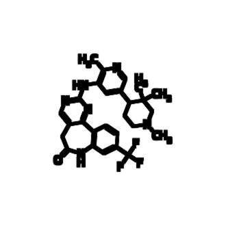 Cc1ncc(C2CCN(C)CC2(C)C)cc1Nc1ncc2c(n1)-c1ccc(C(F)(F)F)cc1NC(=O)C2